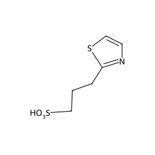 O=S(=O)(O)CCCc1nccs1